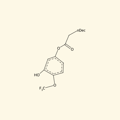 CCCCCCCCCCCC(=O)Oc1ccc(OC(F)(F)F)c(O)c1